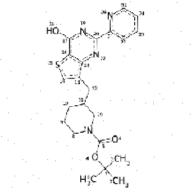 CC(C)(C)OC(=O)N1CCCC(Cc2csc3c(O)nc(-c4ccccn4)nc23)C1